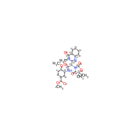 COC(=O)c1ccc(OC)c(NC(=O)C(c2nc3ccccc3c(=O)n2C)N2C(=O)OC(C)(C)C2=O)c1